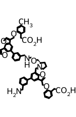 Cc1ccc(CC(=O)O)c(OCc2coc3c2cc(-c2cccc(CNCOC[C@H]4CCCN4Cc4cc(-c5cccc(CN)c5)cc5c(COc6ccccc6CC(=O)O)coc45)c2)c2occc23)c1